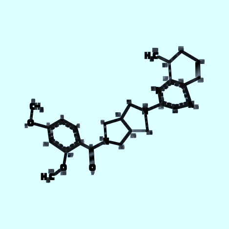 COc1ccc(C(=O)N2CC3CN(c4cnc5c(n4)C(C)CC=C5)CC3C2)c(OC)c1